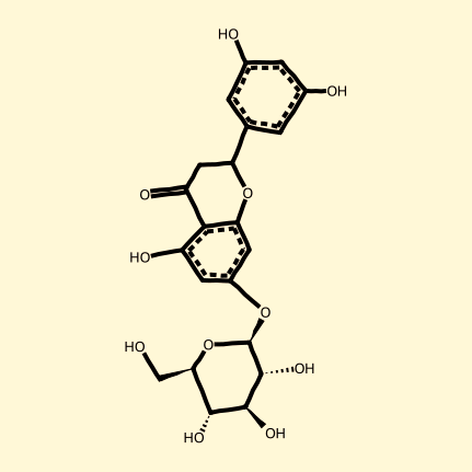 O=C1CC(c2cc(O)cc(O)c2)Oc2cc(O[C@@H]3O[C@H](CO)[C@@H](O)[C@H](O)[C@H]3O)cc(O)c21